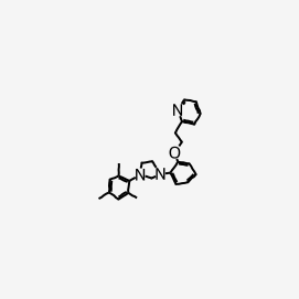 Cc1cc(C)c(N2CCN(c3ccccc3OCCc3ccccn3)C2)c(C)c1